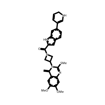 C=C1c2cc(OC)c(OC)cc2N=C(SC)N1C1CN(C(=O)c2cc3ccc(C4=CNCC=C4)cc3[nH]2)C1